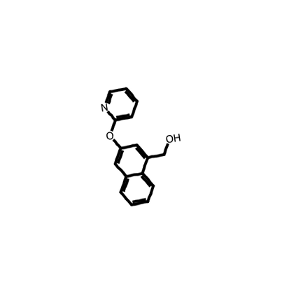 OCc1cc(Oc2ccccn2)cc2ccccc12